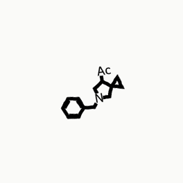 CC(=O)C1CN(Cc2ccccc2)CC12CC2